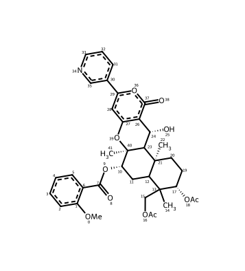 COc1ccccc1C(=O)O[C@H]1CC2C(C)(COC(C)=O)[C@@H](OC(C)=O)CC[C@]2(C)C2[C@@H](O)c3c(cc(-c4cccnc4)oc3=O)O[C@@]21C